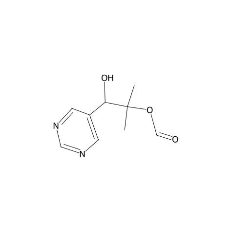 CC(C)(OC=O)C(O)c1cncnc1